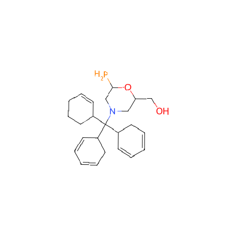 OCC1CN(C(C2C=CC=CC2)(C2C=CC=CC2)C2C=CCCC2)CC(P)O1